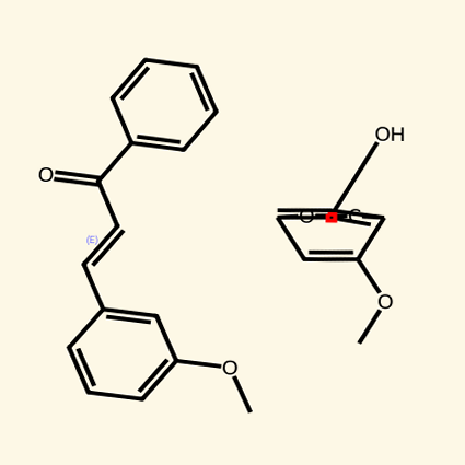 COc1cc2cc(O)c1CO2.COc1cccc(/C=C/C(=O)c2ccccc2)c1